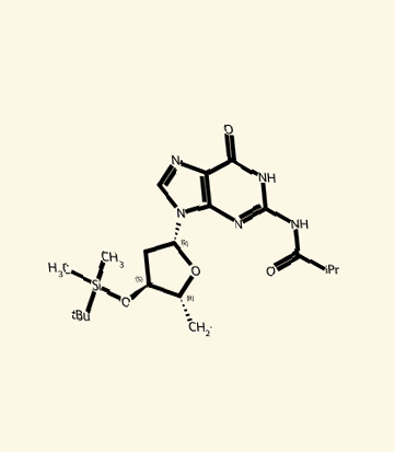 [CH2][C@H]1O[C@@H](n2cnc3c(=O)[nH]c(NC(=O)C(C)C)nc32)C[C@@H]1O[Si](C)(C)C(C)(C)C